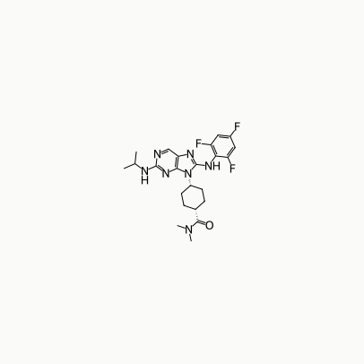 CC(C)Nc1ncc2nc(Nc3c(F)cc(F)cc3F)n([C@H]3CC[C@@H](C(=O)N(C)C)CC3)c2n1